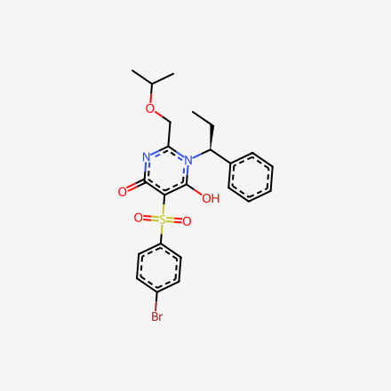 CC[C@@H](c1ccccc1)n1c(COC(C)C)nc(=O)c(S(=O)(=O)c2ccc(Br)cc2)c1O